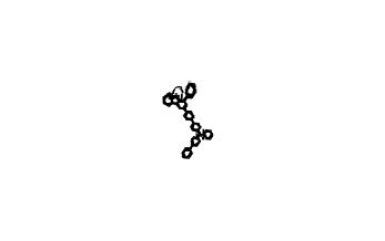 c1ccc(-c2ccc(N(c3ccccc3)c3ccc(-c4ccc(-c5cc(-c6ccccc6)c6oc7ccccc7c6c5)cc4)cc3)cc2)cc1